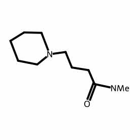 [CH2]NC(=O)CCCN1CCCCC1